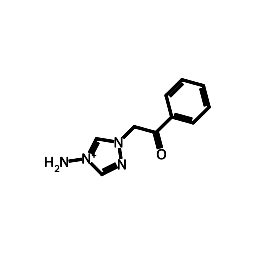 N[n+]1cnn(CC(=O)c2ccccc2)c1